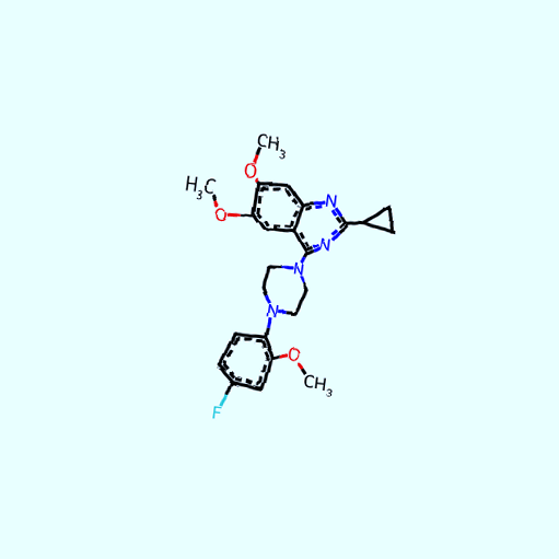 COc1cc2nc(C3CC3)nc(N3CCN(c4ccc(F)cc4OC)CC3)c2cc1OC